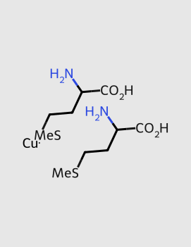 CSCCC(N)C(=O)O.CSCCC(N)C(=O)O.[Cu]